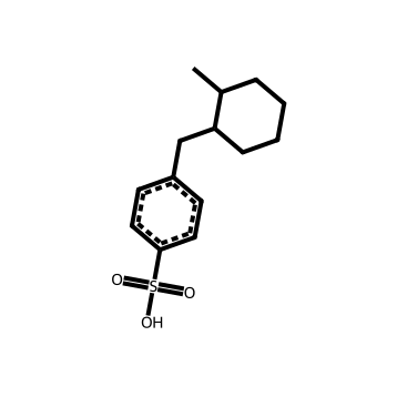 CC1CCCCC1Cc1ccc(S(=O)(=O)O)cc1